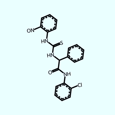 O=Nc1ccccc1NC(=S)NC(C(=O)Nc1ccccc1Cl)c1ccccc1